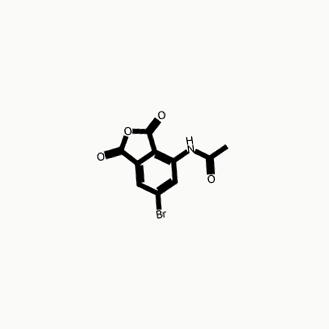 CC(=O)Nc1cc(Br)cc2c1C(=O)OC2=O